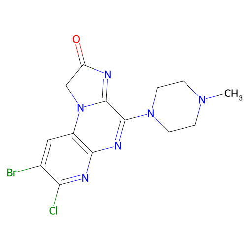 CN1CCN(C2=Nc3nc(Cl)c(Br)cc3N3CC(=O)N=C23)CC1